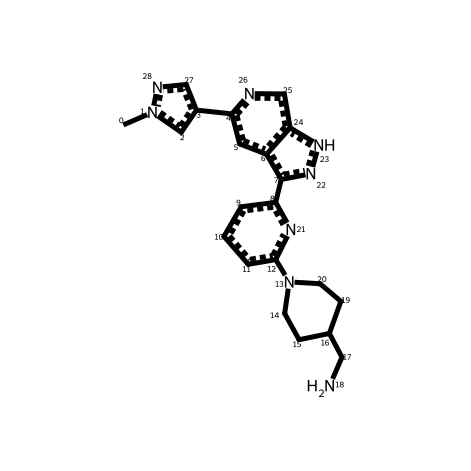 Cn1cc(-c2cc3c(-c4cccc(N5CCC(CN)CC5)n4)n[nH]c3cn2)cn1